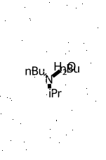 CCCCN(CCCC)C(C)C.O